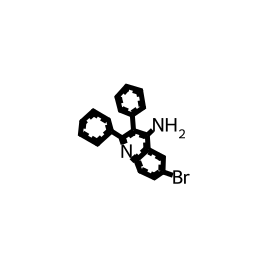 Nc1c(-c2ccccc2)c(-c2ccccc2)nc2ccc(Br)cc12